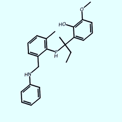 CCC(C)(Pc1c(C)cccc1CNc1ccccc1)c1cccc(OC)c1O